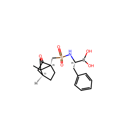 CC1(C)[C@H]2CC[C@]1(CS(=O)(=O)N[C@@H](Cc1ccccc1)B(O)O)C(=O)C2